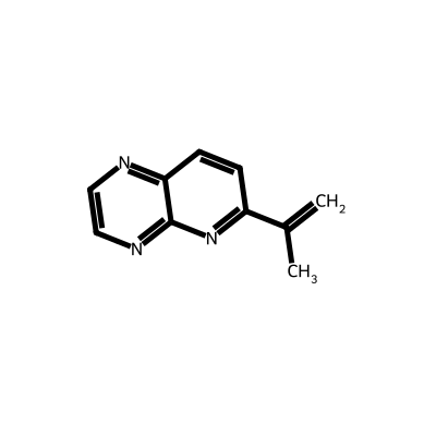 C=C(C)c1ccc2nccnc2n1